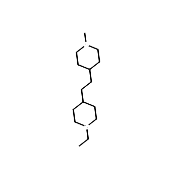 CCN1CCC(CCC2CCN(C)CC2)CC1